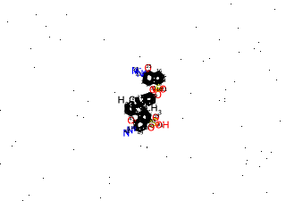 CCC(CC)(c1ccc(OS(=O)(=O)c2cccc3c2C=CC(=[N+]=[N-])C3=O)cc1)c1ccccc1-c1ccc(S(=O)(=O)O)c2c1C(=O)C(=[N+]=[N-])C=C2